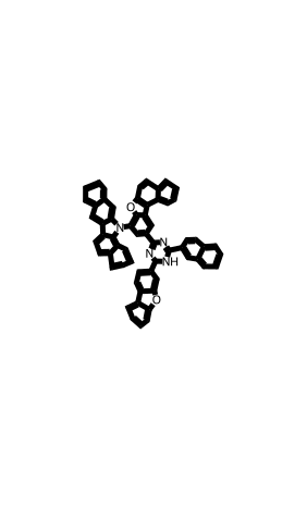 c1ccc2cc(C3=NC(c4cc(-n5c6cc7ccccc7cc6c6ccc7ccccc7c65)c5oc6ccc7ccccc7c6c5c4)=NC(c4ccc5c(c4)oc4ccccc45)N3)ccc2c1